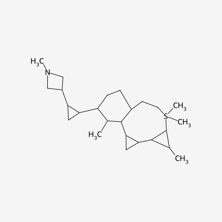 CC1C(C2CC2C2CN(C)C2)CCC2CCS(C)(C)C3C(C)C3C3CC3C21